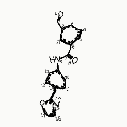 O=Cc1cccc(C(=O)Nc2ccc(-c3ncco3)cc2)c1